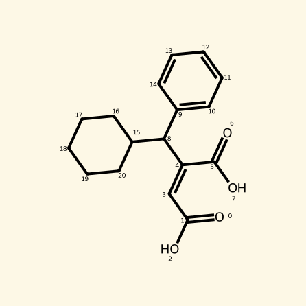 O=C(O)C=C(C(=O)O)C(c1ccccc1)C1CCCCC1